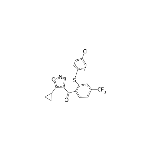 O=C(c1ccc(C(F)(F)F)cc1Sc1ccc(Cl)cc1)c1cnoc1C1CC1